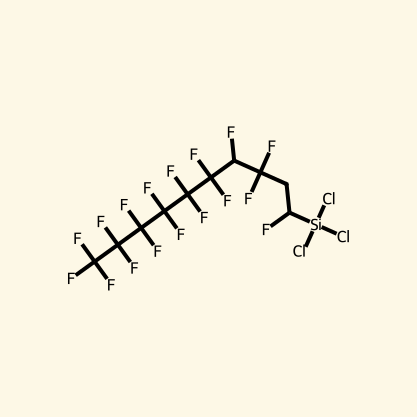 FC(C(F)(F)CC(F)[Si](Cl)(Cl)Cl)C(F)(F)C(F)(F)C(F)(F)C(F)(F)C(F)(F)C(F)(F)F